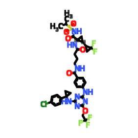 CC(C)S(=O)(=O)NC(=O)[C@@]1(NC(=O)CCCNC(=O)c2ccc(Nc3nc(NC4(c5ccc(Cl)cc5)CC4)nc(OCC(F)(F)F)n3)cc2)C[C@H]1C1CC1(F)F